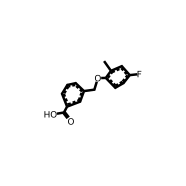 Cc1cc(F)ccc1OCc1cccc(C(=O)O)c1